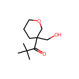 CC(C)(C)C(=O)C1(CO)CCCOC1